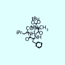 CC(C)C[C@H](NC(=O)[C@H](Cc1ccccc1)NCC(=O)[C@H](C)NC(=O)OC(C)(C)C)C(=O)O